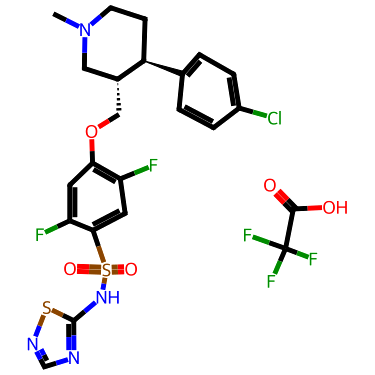 CN1CC[C@@H](c2ccc(Cl)cc2)[C@H](COc2cc(F)c(S(=O)(=O)Nc3ncns3)cc2F)C1.O=C(O)C(F)(F)F